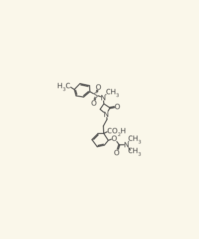 Cc1ccc(S(=O)(=O)N(C)C2CN(CCC3(C(=O)O)C=CC=CC3OC(=O)N(C)C)C2=O)cc1